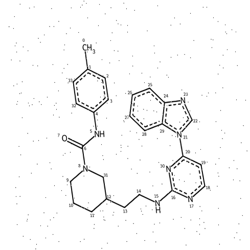 Cc1ccc(NC(=O)N2CCCC(CCNc3nccc(-n4cnc5ccccc54)n3)C2)cc1